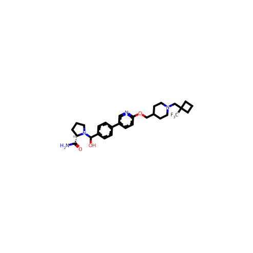 NC(=O)[C@@H]1CCCN1C(O)c1ccc(-c2ccc(OCC3CCN(CC4(C(F)(F)F)CCC4)CC3)nc2)cc1